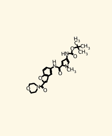 Cn1cc(NC(=O)OC(C)(C)C)cc1C(=O)Nc1ccc2oc(C(=O)N3CCOCC3)cc2c1